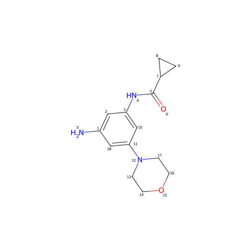 Nc1cc(NC(=O)C2CC2)cc(N2CCOCC2)c1